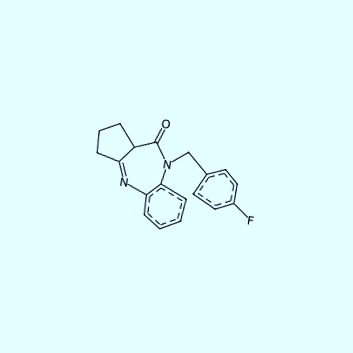 O=C1C2CCCC2=Nc2ccccc2N1Cc1ccc(F)cc1